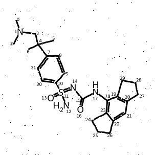 CN(C)CC(C)(C)c1ccc(S(N)(=O)=NC(=O)Nc2c3c(cc4c2CCC4)CCC3)cc1